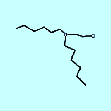 CCCCCCN(CCCl)CCCCCC